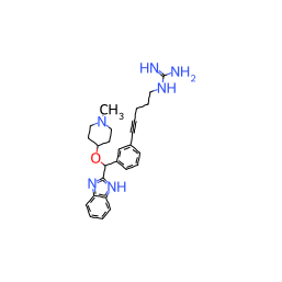 CN1CCC(OC(c2cccc(C#CCCCNC(=N)N)c2)c2nc3ccccc3[nH]2)CC1